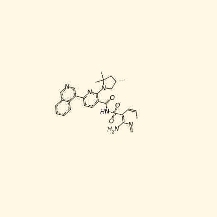 C=N/C(N)=C(\C=C/C)S(=O)(=O)NC(=O)c1ccc(-c2cncc3ccccc23)nc1N1C[C@@H](C)CC1(C)C